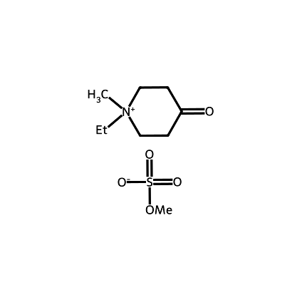 CC[N+]1(C)CCC(=O)CC1.COS(=O)(=O)[O-]